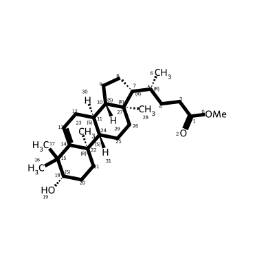 COC(=O)CC[C@@H](C)[C@H]1CC[C@H]2[C@@H]3CC=C4C(C)(C)[C@@H](O)CC[C@]4(C)[C@H]3CC[C@]12C